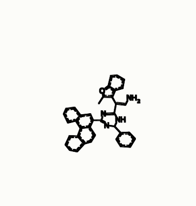 Cc1oc2ccccc2c1/C(=C\N)C1=NC(c2cc3ccccc3c3c2ccc2ccccc23)=NC(c2ccccc2)N1